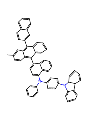 Cc1ccc2c(-c3ccc(N(c4ccccc4)c4ccc(N5c6ccccc6C6C=CC=CC65)cc4)c4ccccc34)c3ccccc3c(-c3ccc4ccccc4c3)c2c1